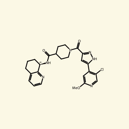 COc1cc(-c2cc(C(=O)N3CCC(C(=O)N[C@@H]4CCCc5cccnc54)CC3)n[nH]2)c(Cl)cn1